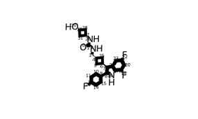 O=C(NC[C@H]1C[C@H](c2c(-c3ccc(F)cc3)[nH]c3c(F)cc(F)cc32)C1)N[C@H]1C[C@H](O)C1